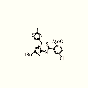 COc1ccc(Cl)cc1C(=S)N=c1sc(C(C)(C)C)cn1Cc1csc(C)n1